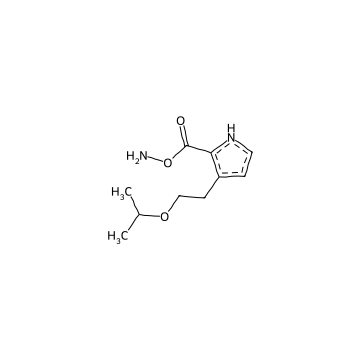 CC(C)OCCc1cc[nH]c1C(=O)ON